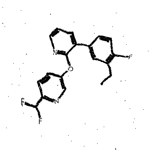 CCc1cc(-c2cccnc2Oc2ccc(C(F)F)nc2)ccc1F